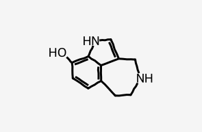 Oc1ccc2c3c(c[nH]c13)CNCC2